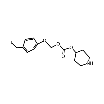 O=C(OCOc1ccc(CI)cc1)OC1CCNCC1